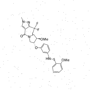 COc1ccccc1SNc1cccc(O[C@@H]2CN(C(=O)c3cn(C)nc3C(F)(F)I)C[C@H]2OC)c1